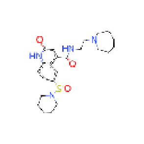 O=C(NCCN1CCCCCC1)c1cc(=O)[nH]c2ccc([S+]([O-])N3CCCCC3)cc12